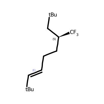 CC(C)(C)/C=C/CC[C@@H](CC(C)(C)C)C(F)(F)F